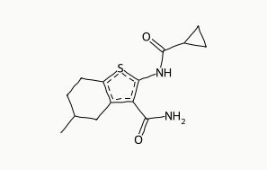 CC1CCc2sc(NC(=O)C3CC3)c(C(N)=O)c2C1